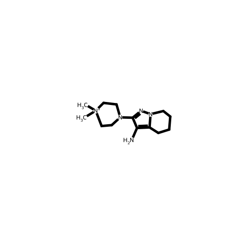 C[N+]1(C)CCN(c2nn3c(c2N)CCCC3)CC1